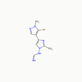 Cc1nc(-c2cnn(C)c2Br)cn1NC=N